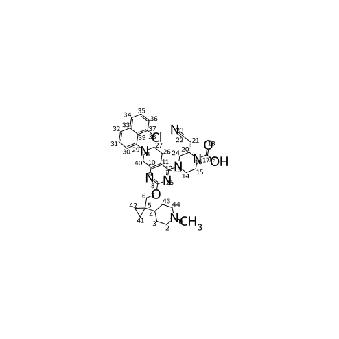 CN1CCC(C2(COc3nc4c(c(N5CCN(C(=O)O)[C@@H](CC#N)C5)n3)CCN(c3cccc5cccc(Cl)c35)C4)CC2)CC1